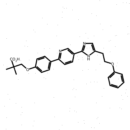 CC(C)(COc1ccc(-c2ccc(-c3ncc(CCOc4ccccc4)[nH]3)cn2)cc1)C(=O)O